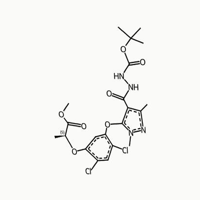 COC(=O)[C@H](C)Oc1cc(Oc2c(C(=O)NNC(=O)OC(C)(C)C)c(C)nn2C)c(Cl)cc1Cl